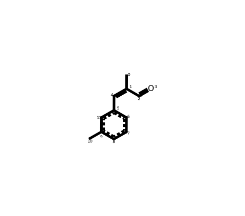 CC([C]=O)=Cc1cccc(C)c1